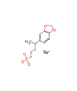 CC(SCCS(=O)(=O)[O-])c1ccc2c(c1)OCO2.[Na+]